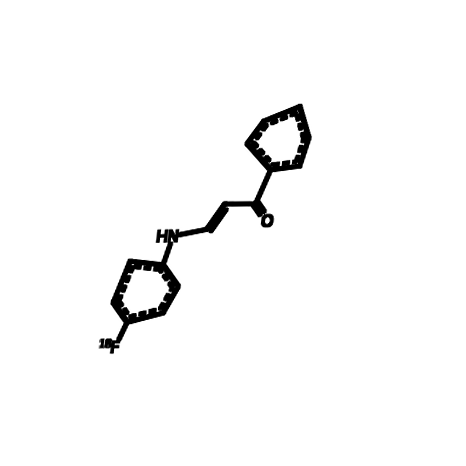 O=C(C=CNc1ccc([18F])cc1)c1ccccc1